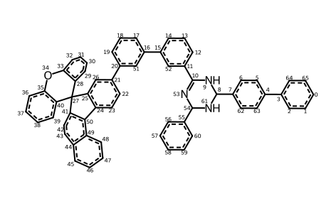 c1ccc(-c2ccc(C3NC(c4cccc(-c5cccc(-c6ccc7c(c6)C6(c8ccccc8Oc8ccccc86)c6ccc8ccccc8c6-7)c5)c4)=NC(c4ccccc4)N3)cc2)cc1